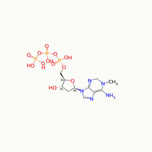 CN1CN=c2c(ncn2[C@H]2C[C@H](O)[C@@H](COP(=O)(O)OP(=O)(O)OP(=O)(O)O)O2)=C1N